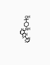 CC(C)(O)C1CCC(Nc2nccc3sc(-c4nccs4)nc23)CC1